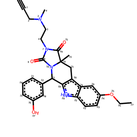 C#CCN(C)CCN1C(=O)N2C(c3cccc(O)c3)c3[nH]c4ccc(OCC)cc4c3CC2(C)C1=O